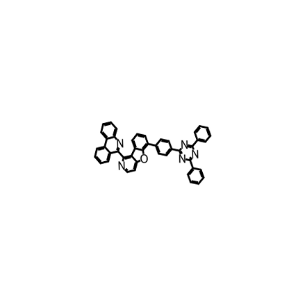 c1ccc(-c2nc(-c3ccccc3)nc(-c3ccc(-c4cccc5c4oc4ccnc(-c6nc7ccccc7c7ccccc67)c45)cc3)n2)cc1